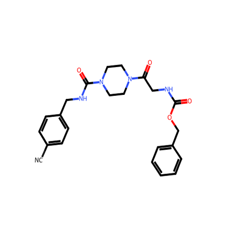 N#Cc1ccc(CNC(=O)N2CCN(C(=O)CNC(=O)OCc3ccccc3)CC2)cc1